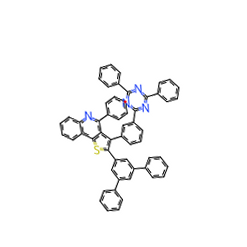 c1ccc(-c2cc(-c3ccccc3)cc(-c3sc4c(c(-c5ccccc5)nc5ccccc54)c3-c3cccc(-c4nc(-c5ccccc5)nc(-c5ccccc5)n4)c3)c2)cc1